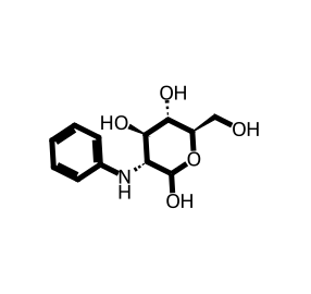 OC[C@H]1OC(O)[C@H](Nc2ccccc2)[C@@H](O)[C@@H]1O